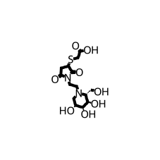 O=C(O)CSC1CC(=O)N(CCN2C[C@@H](O)[C@@H](O)[C@H](O)[C@H]2CO)C1=O